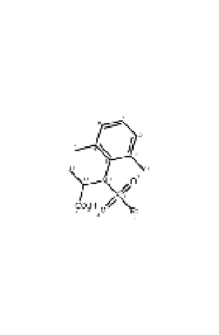 CCS(=O)(=O)N(c1c(C)cccc1C)C(C)C(=O)O